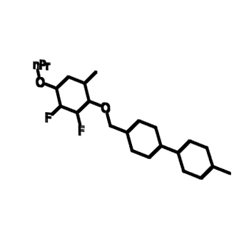 CCCOC1CC(C)C(OCC2CCC(C3CCC(C)CC3)CC2)C(F)C1F